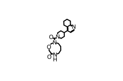 O=C1COCN(C(=O)N2CCC(c3ccnc4c3CCCC4)CC2)CCCCN1